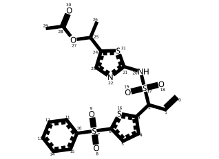 C=CC(c1ccc(S(=O)(=O)c2ccccc2)s1)S(=O)(=O)Nc1ncc(C(C)OC(C)=O)s1